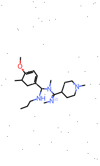 CCCNC(C1=CC=C(OC)C(C)C1)N(C)/C(=N\C)C1CCN(C)CC1